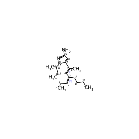 CC/C=C(\C=C(/C)c1cc(N)nn1C(C)CC)CCCC